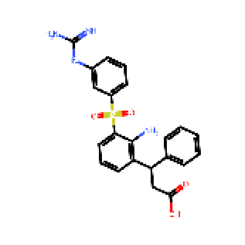 N=C(N)Nc1cccc(S(=O)(=O)c2cccc(C(CC(=O)O)c3ccccc3)c2N)c1